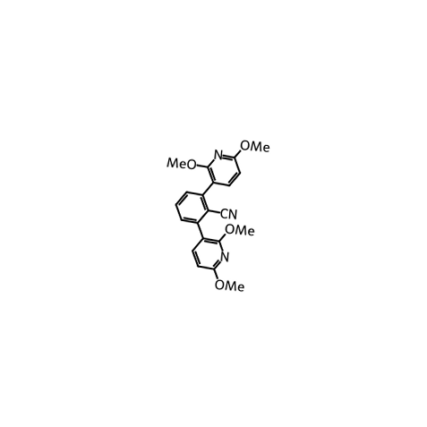 COc1ccc(-c2cccc(-c3ccc(OC)nc3OC)c2C#N)c(OC)n1